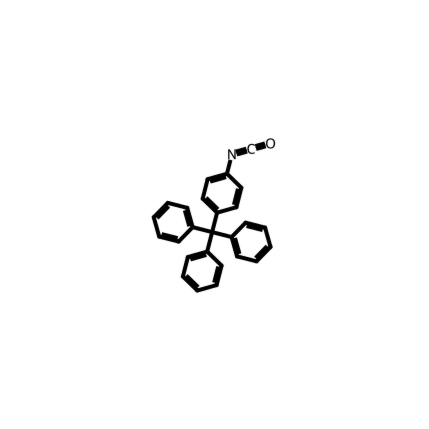 O=C=Nc1ccc(C(c2ccccc2)(c2ccccc2)c2ccccc2)cc1